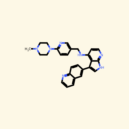 CN1CCN(c2ccc(CNc3ccnc4[nH]cc(-c5ccc6ncccc6c5)c34)cn2)CC1